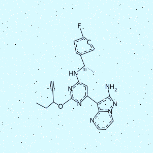 C#CC(CC)Oc1nc(N[C@@H](C)c2ccc(F)cc2)cc(-c2c(N)nn3cccnc23)n1